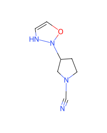 N#CN1CCC(N2NC=CO2)C1